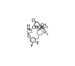 CN(C)C1(c2ccc(Cl)cc2)CCC(Cc2cc(O[C@@H]3CN[C@H](C(=O)O)C3)cc(F)c2F)CC1